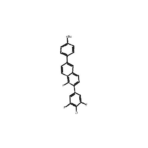 CCCCc1ccc(-c2ccc3c(F)c(-c4cc(F)c(Cl)c(F)c4)ccc3c2)cc1